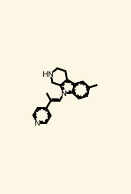 C/C(=C\n1c2c(c3cc(C)ccc31)CCNC2)c1ccncc1